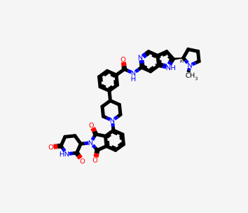 CN1CCC[C@@H]1c1cc2cnc(NC(=O)c3cccc(C4CCN(c5cccc6c5C(=O)N(C5CCC(=O)NC5=O)C6=O)CC4)c3)cc2[nH]1